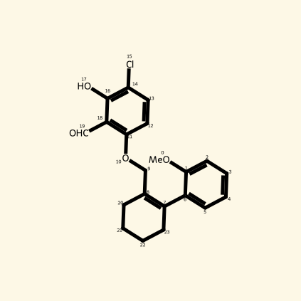 COc1ccccc1C1=C(COc2ccc(Cl)c(O)c2C=O)CCCC1